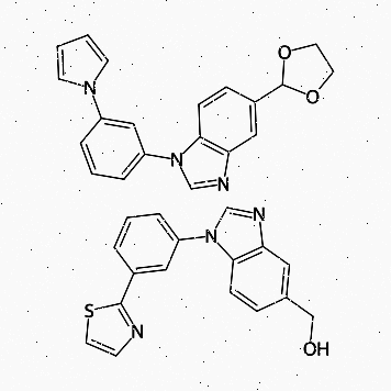 OCc1ccc2c(c1)ncn2-c1cccc(-c2nccs2)c1.c1cc(-n2cccc2)cc(-n2cnc3cc(C4OCCO4)ccc32)c1